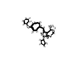 Nc1ncnc2c1c(Cc1ccc(Oc3ccccc3)cc1)nn2C1CCCC1